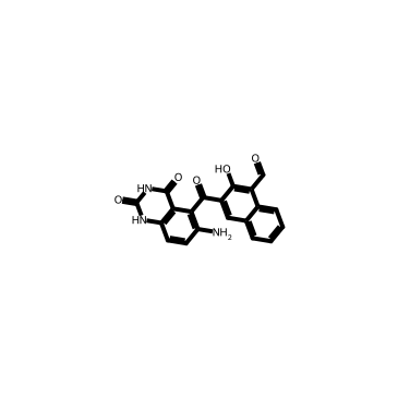 Nc1ccc2[nH]c(=O)[nH]c(=O)c2c1C(=O)c1cc2ccccc2c(C=O)c1O